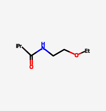 CCOCCNC(=O)C(C)C